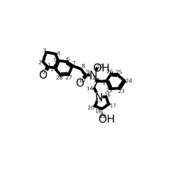 O=C1CCCc2cc(CC(=O)N(O)[C@H](CN3CC[C@H](O)C3)c3ccccc3)ccc21